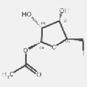 CC(=O)O[C@@H]1O[C@H](CI)[C@@H](O)[C@H]1O